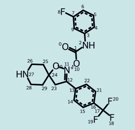 O=C(Nc1cccc(F)c1)O[N+]1=C(c2ccc(C(F)(F)F)cc2)CC2(CCNCC2)O1